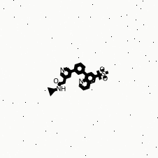 CC(C)(c1cc(-c2cccc(-c3cncc(CC(=O)NC4CC4)c3)c2)c2ncccc2c1)S(C)(=O)=O